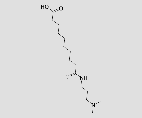 CN(C)CCCNC(=O)CCCCCCCCC(=O)O